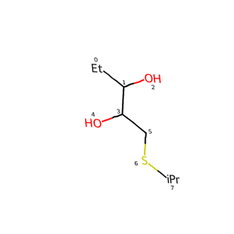 CCC(O)C(O)CSC(C)C